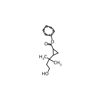 CC(C)(CCO)C1CC1C(=O)Oc1ccccc1